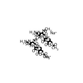 CO/N=C(\C(=O)N[C@@H]1C(=O)N2C(C(=O)[O-])=C(COC(C)=O)CS[C@H]12)c1c[se]c(N)n1.CO/N=C(\C(=O)N[C@@H]1C(=O)N2C(C(=O)[O-])=C(COC(C)=O)CS[C@H]12)c1c[se]c(N)n1.[Na+].[Na+]